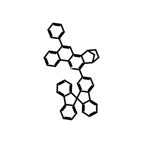 c1ccc(-c2cc3c4c(c(-c5ccc6c(c5)C5(c7ccccc7-c7ccccc75)c5ccccc5-6)nc3c3ccccc23)C2CCC4C2)cc1